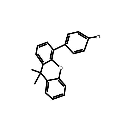 CC1(C)c2ccccc2Oc2c(-c3ccc(Cl)cc3)cccc21